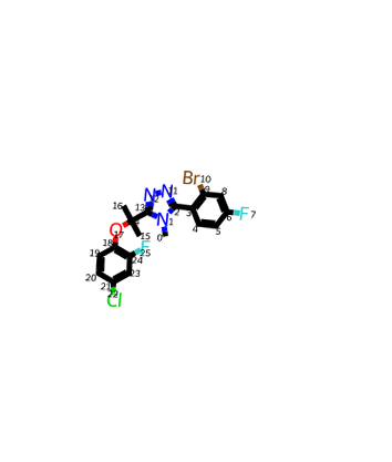 Cn1c(-c2ccc(F)cc2Br)nnc1C(C)(C)Oc1ccc(Cl)cc1F